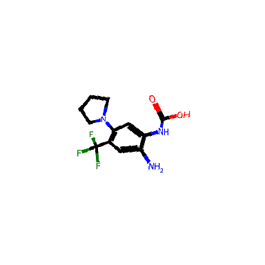 Nc1cc(C(F)(F)F)c(N2CCCC2)cc1NC(=O)O